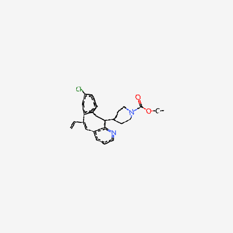 C=CC1=Cc2cccnc2C(C2CCN(C(=O)OCC)CC2)c2ccc(Cl)cc21